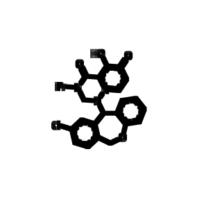 CC(C)N1CN(C2c3cc(Cl)ccc3COc3ccccc32)n2ccc(=O)c(O)c2C1=O